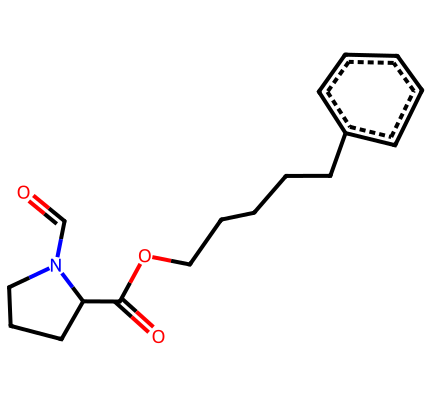 O=CN1CCCC1C(=O)OCCCCCc1ccccc1